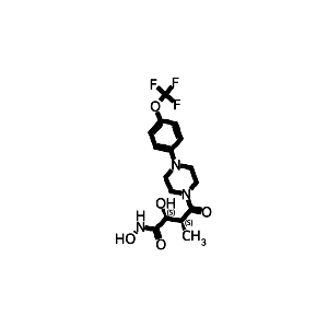 C[C@H](C(=O)N1CCN(c2ccc(OC(F)(F)F)cc2)CC1)[C@H](O)C(=O)NO